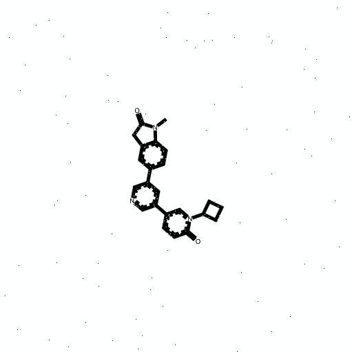 CN1C(=O)Cc2cc(-c3cncc(-c4ccc(=O)n(C5CCC5)c4)c3)ccc21